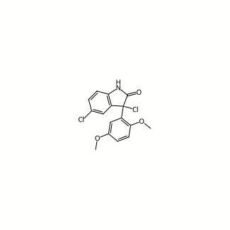 COc1ccc(OC)c(C2(Cl)C(=O)Nc3ccc(Cl)cc32)c1